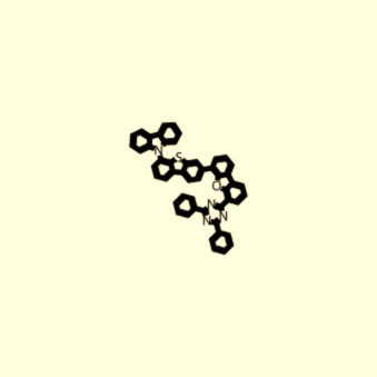 c1ccc(-c2nc(-c3ccccc3)nc(-c3cccc4c3oc3c(-c5ccc6c(c5)sc5c(-n7c8ccccc8c8ccccc87)cccc56)cccc34)n2)cc1